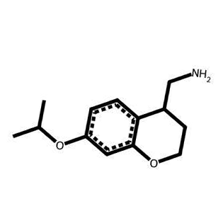 CC(C)Oc1ccc2c(c1)OCCC2CN